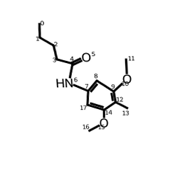 CCCCC(=O)Nc1cc(OC)c(C)c(OC)c1